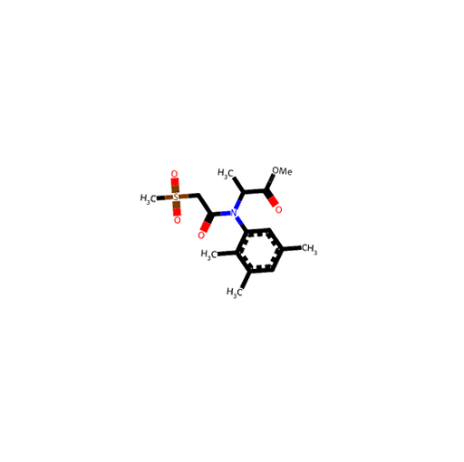 COC(=O)C(C)N(C(=O)CS(C)(=O)=O)c1cc(C)cc(C)c1C